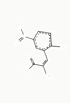 CC(=Cc1cc([N+](=O)[O-])ccc1Cl)C(=O)O